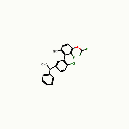 N#Cc1ccc(OC(F)F)c(F)c1-c1cc(C(C=O)c2ccccc2)ccc1Cl